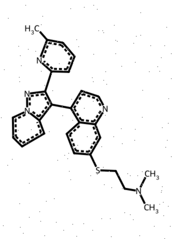 Cc1cccc(-c2nn3ccccc3c2-c2ccnc3cc(SCCN(C)C)ccc23)n1